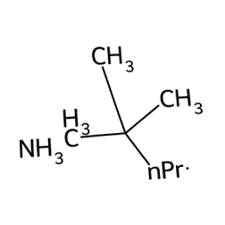 CC[CH]C(C)(C)C.N